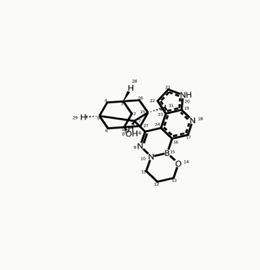 O[C@]12C[C@@H]3C[C@H](C1)[C@@H](C1=NN4CCCOB4c4cnc5[nH]ccc5c41)[C@@H](C3)C2